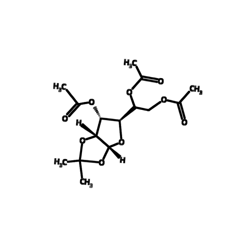 CC(=O)OCC(OC(C)=O)[C@H]1O[C@@H]2OC(C)(C)O[C@@H]2[C@@H]1OC(C)=O